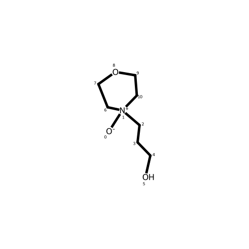 [O-][N+]1(CCCO)CCOCC1